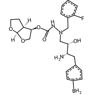 Bc1ccc(C[C@H](N)[C@@H](O)CN(Cc2ccccc2F)NC(=O)O[C@H]2CO[C@H]3OCC[C@H]32)cc1